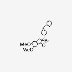 Br.COc1cc2c(cc1OC)C(=O)C(CC1CCN(Cc3ccccc3)CC1)C2